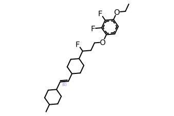 CCOc1ccc(OCCC(F)C2CCC(/C=C/C3CCC(C)CC3)CC2)c(F)c1F